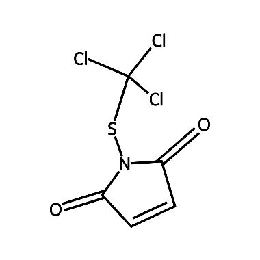 O=C1C=CC(=O)N1SC(Cl)(Cl)Cl